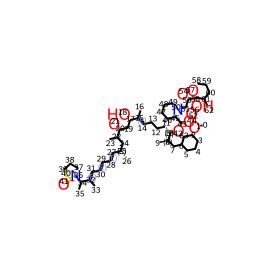 COC1CCCC(C[C@@H](C)[C@H](CCC/C=C(\C)C(O)CC(=O)C(C)C[C@H](C)/C=C/C=C/C=C(\C)C(C)N2CCC[S+]2[O-])OC(=O)C2CCCCN2C(=O)C(=O)C2(O)OCCCC2C)C1